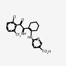 N=C(C(=O)c1c(Cl)cccc1C(F)(F)F)C1=C(Nc2ccc(C(=O)O)cn2)CCCC1